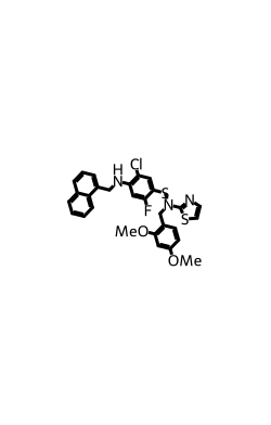 COc1ccc(CN(Sc2cc(Cl)c(NCc3cccc4ccccc34)cc2F)c2nccs2)c(OC)c1